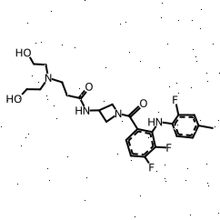 Cc1ccc(Nc2c(C(=O)N3CC(NC(=O)CCN(CCO)CCO)C3)ccc(F)c2F)c(F)c1